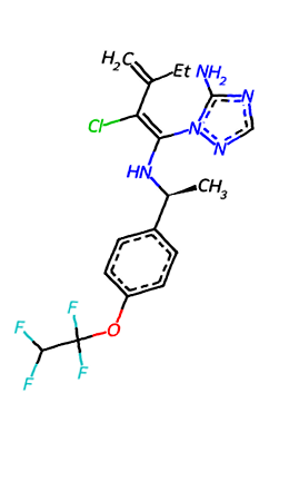 C=C(CC)/C(Cl)=C(/N[C@@H](C)c1ccc(OC(F)(F)C(F)F)cc1)n1ncnc1N